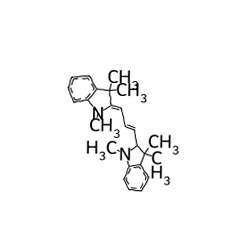 CN1C(=CC=CC2N(C)c3ccccc3C2(C)C)C(C)(C)c2ccccc21